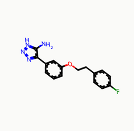 Nc1[nH]nnc1-c1cccc(OCCc2ccc(F)cc2)c1